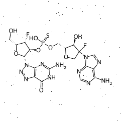 Nc1nc2c(nnn2[C@@H]2O[C@H](CO)[C@H](F)[C@H]2OP(O)(=S)OC[C@H]2OCC(F)(n3cnc4c(N)ncnc43)[C@@H]2O)c(=O)[nH]1